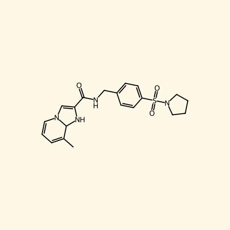 CC1=CC=CN2C=C(C(=O)NCc3ccc(S(=O)(=O)N4CCCC4)cc3)NC12